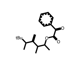 C=C(C(C)C(C)OC(=O)C(=O)c1ccccc1)C(C)C(C)(C)C